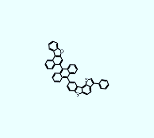 c1ccc(-c2csc3c2ccc2sc4ccc(-c5c6ccccc6c(-c6cc7oc8ccccc8c7c7ccccc67)c6ccccc56)cc4c23)cc1